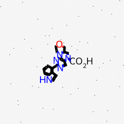 O=C(O)N1CC2COCCN2c2nc(-c3cccc4[nH]ccc34)ncc21